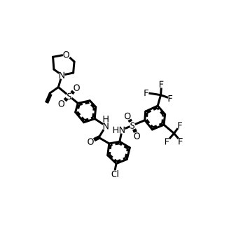 C=CC(N1CCOCC1)S(=O)(=O)c1ccc(NC(=O)c2cc(Cl)ccc2NS(=O)(=O)c2cc(C(F)(F)F)cc(C(F)(F)F)c2)cc1